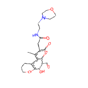 Cc1c(CC(=O)NCCN2CCOCC2)c(=O)oc2c(C=O)c(O)c3c(c12)CCCO3